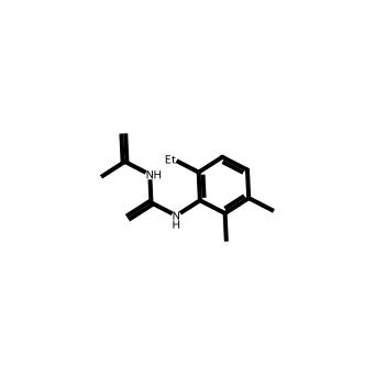 C=C(C)NC(=C)Nc1c(CC)ccc(C)c1C